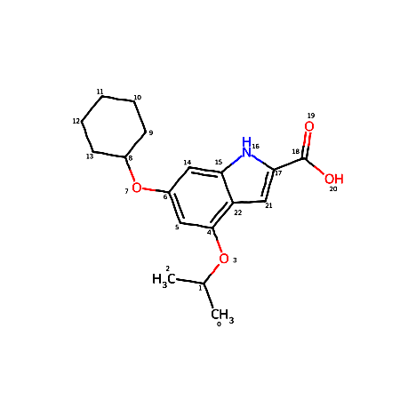 CC(C)Oc1cc(OC2CCCCC2)cc2[nH]c(C(=O)O)cc12